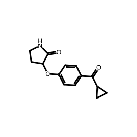 O=C(c1ccc(OC2CCNC2=O)cc1)C1CC1